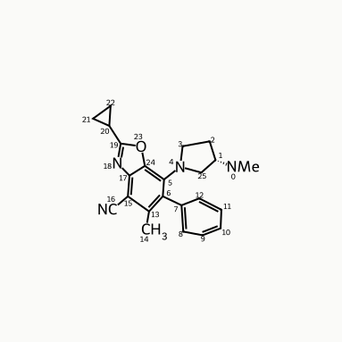 CN[C@H]1CCN(c2c(-c3ccccc3)c(C)c(C#N)c3nc(C4CC4)oc23)C1